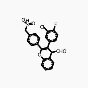 O=CC1C(c2ccc(F)c(Cl)c2)=C(c2ccc(C[SH](=O)=O)cc2)Oc2ccccc21